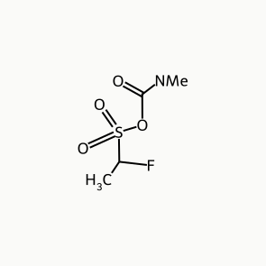 CNC(=O)OS(=O)(=O)C(C)F